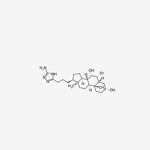 CC[C@H]1[C@@H](O)[C@@H]2[C@H](CC[C@]3(C)[C@@H](CCCc4nnc(N)[nH]4)CC[C@@H]23)[C@@]2(C)CC[C@@H](O)C[C@@H]12